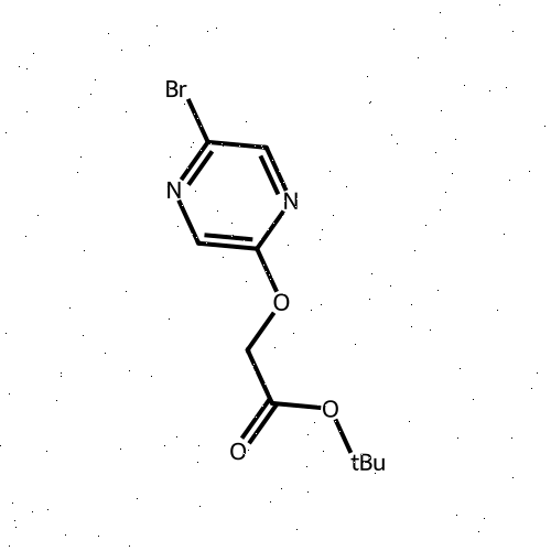 CC(C)(C)OC(=O)COc1cnc(Br)cn1